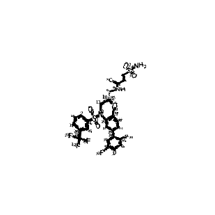 NS(=O)(=O)CCC(=O)NC[C@H]1CN(S(=O)(=O)c2cccc(C(F)(F)F)c2)c2cc(-c3cc(F)ccc3F)ccc2O1